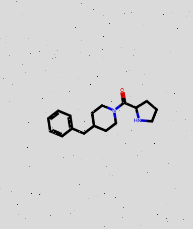 O=C(C1CCCN1)N1CCC(Cc2ccccc2)CC1